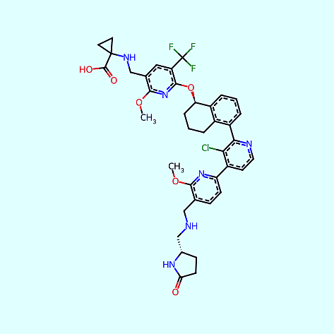 COc1nc(-c2ccnc(-c3cccc4c3CCC[C@H]4Oc3nc(OC)c(CNC4(C(=O)O)CC4)cc3C(F)(F)F)c2Cl)ccc1CNC[C@@H]1CCC(=O)N1